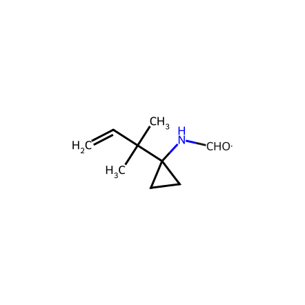 C=CC(C)(C)C1(N[C]=O)CC1